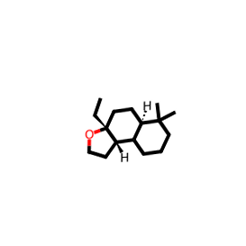 CC[C@@]12CC[C@@H]3C(CCCC3(C)C)[C@@H]1CCO2